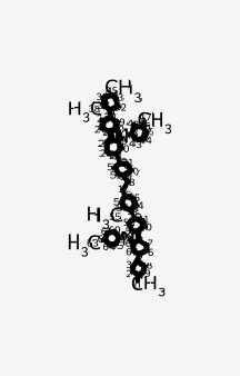 Cc1ccc(-c2ccc3c4ccc(-c5ccc(CCc6ccc(-c7ccc8c9ccc(-c%10ccc(C)cc%10C)cc9n(-c9cccc(C)c9)c8c7)cc6)cc5C)cc4n(-c4ccc(C)cc4)c3c2)cc1